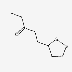 CCC(=O)CCC1CCSS1